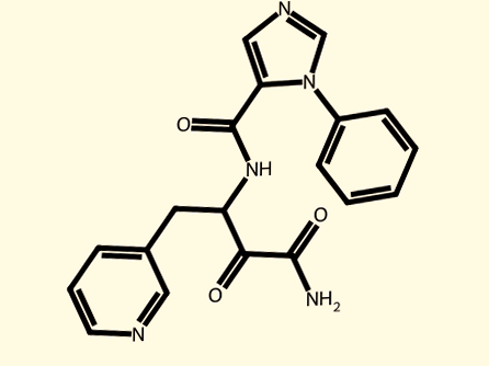 NC(=O)C(=O)C(Cc1cccnc1)NC(=O)c1cncn1-c1ccccc1